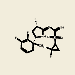 CC1([C@@H]2C[C@H](F)/C(=N/C(=N)S(=O)(=O)C3CC3(F)F)N2)CC=CC(F)=C1F